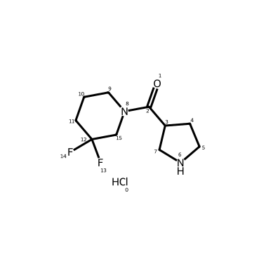 Cl.O=C(C1CCNC1)N1CCCC(F)(F)C1